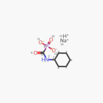 O=C(NC1CCCCC1)P(=O)([O-])[O-].[H+].[Na+]